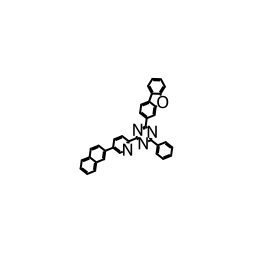 c1ccc(-c2nc(-c3ccc4c(c3)oc3ccccc34)nc(-c3ccc(-c4ccc5ccccc5c4)cn3)n2)cc1